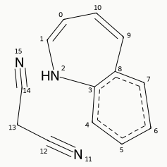 C1=CNc2ccccc2C=C1.N#CCC#N